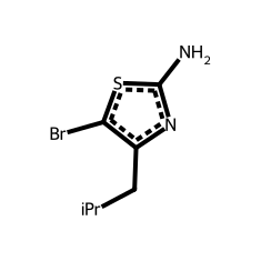 CC(C)Cc1nc(N)sc1Br